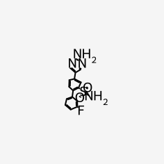 Nc1ncc(-c2ccc(-c3cccc(F)c3)c(S(N)(=O)=O)c2)cn1